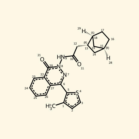 Cc1ccsc1-c1nn(NC(=O)C[C@H]2C[C@@H]3CC[C@H]2C3)c(=O)c2ccccc12